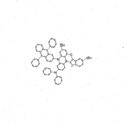 CC(C)(C)c1cc2c3c(c1)N(c1ccc4c(-c5ccccc5)c5ccccc5c(-c5ccccc5)c4c1)c1cc(N(c4ccccc4)c4ccccc4)ccc1B3c1sc3ccc(C(C)(C)C)cc3c1O2